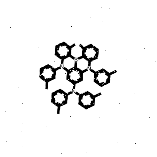 Cc1cccc(N(c2cccc(C)c2)c2cc3c4c(c2)N(c2cccc(C)c2)c2cccc(C)c2B4c2c(C)cccc2N3c2cccc(C)c2)c1